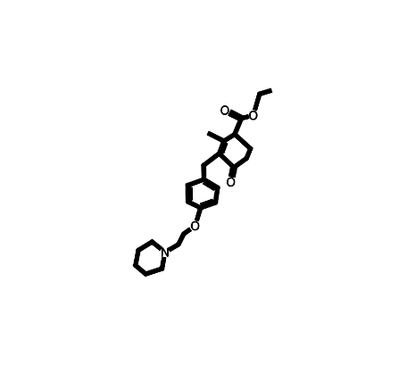 CCOC(=O)C1CCC(=O)C(Cc2ccc(OCCN3CCCCC3)cc2)=C1C